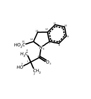 CC(C)(O)C(=O)N1c2ccccc2CC1C(=O)O